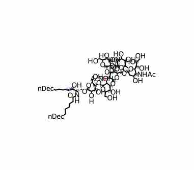 CCCCCCCCCCCCC/C=C/[C@@H](O)[C@H](CO[C@@H]1OC(CO)[C@@H](O[C@@H]2OC(CO)[C@H](O)[C@H](O[C@@H]3OC(CO[C@]4(C(=O)O)CC(O)[C@@H](NC(C)=O)C([C@H](O)[C@H](O)CO)O4)[C@@H](O[C@H]4OC(C)[C@@H](O)C(O)[C@@H]4O)[C@H](O[C@@H]4OC(CO)[C@H](O)[C@H](O)C4O)C3NC(C)=O)C2O)[C@H](O)C1O)NC(=O)CCCCCCCCCCCCCCC